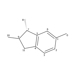 Cc1ccc2c(c1)[C@@H](C)C(C)C2